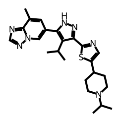 Cc1cc(-c2[nH]nc(-c3ncc(C4CCN(C(C)C)CC4)s3)c2C(C)C)cn2ncnc12